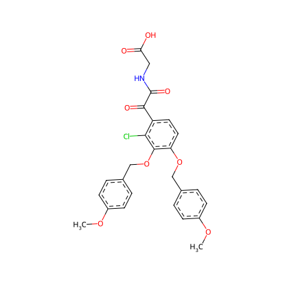 COc1ccc(COc2ccc(C(=O)C(=O)NCC(=O)O)c(Cl)c2OCc2ccc(OC)cc2)cc1